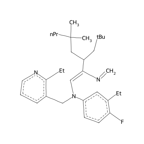 C=N/C(=C\N(Cc1cccnc1CC)c1ccc(F)c(CC)c1)C(CC(C)(C)C)CC(C)(C)CCC